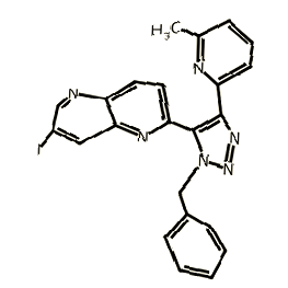 Cc1cccc(-c2nnn(Cc3ccccc3)c2-c2ccc3ncc(I)cc3n2)n1